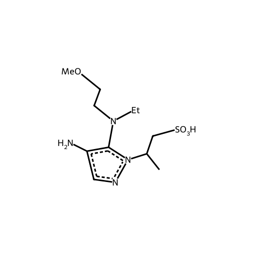 CCN(CCOC)c1c(N)cnn1C(C)CS(=O)(=O)O